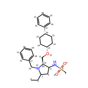 CCC1CC(NS(C)(=O)=O)[C@H](CO[C@H]2CC[C@@H](c3ccccc3)CC2)N1Cc1ccccc1